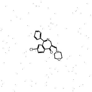 O=C1C(=CN2CCOCC2)CN=C(c2ccccc2)c2cc(Cl)ccc21